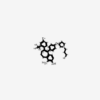 Cc1c(O)ccc2c1CCCC(c1ccc(F)cc1C(F)(F)F)=C2c1ccc(O[C@H]2CCN(CCCF)C2)cc1